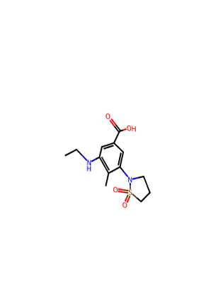 CCNc1cc(C(=O)O)cc(N2CCCS2(=O)=O)c1C